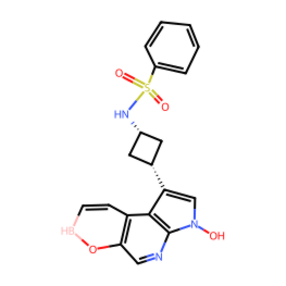 O=S(=O)(N[C@H]1C[C@@H](c2cn(O)c3ncc4c(c32)C=CBO4)C1)c1ccccc1